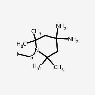 CC1(C)CC(N)(N)CC(C)(C)N1SI